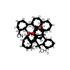 CC1(C)c2ccccc2C(c2ccccc2)c2c(-c3ccccc3-c3cccc(C#N)c3-n3c4ccccc4c4ccccc43)cccc21